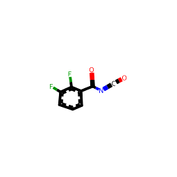 O=C=NC(=O)c1cccc(F)c1F